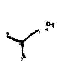 C[C](C)C.[KH]